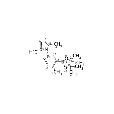 Cc1ccc(-n2c(C)ccc2C)cc1B1OC(C)(C)C(C)(C)O1